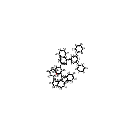 c1ccc(-c2cc(-c3ccccc3)nc(-c3nc(-c4cccc(-n5c6ccccc6c6ccc7ccn(-c8ccccc8)c7c65)c4)nc4ccccc34)n2)cc1